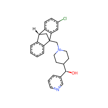 O[C@@H](c1cccnc1)C1CCN(CC23C[C@H](c4ccccc42)c2ccc(Cl)cc23)CC1